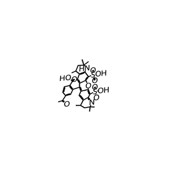 CC(=O)c1ccc(C(=O)O)c(C2=c3cc4c(c(S(=O)(=O)O)c3Oc3c2cc2c(c3S(=O)(=O)O)NC(C)(C)CC2C)=NC(C)(C)CC4C)c1